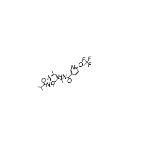 Cc1cc(C(C)NC(=O)c2ccc(OCC(F)(F)F)nc2)cc(NC(=O)C(C)C)n1